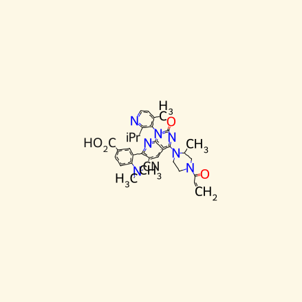 C=CC(=O)N1CCN(c2nc(=O)n(-c3c(C)ccnc3C(C)C)c3nc(-c4cc(C(=O)O)ccc4N(C)C)c(C#N)cc23)C(C)C1